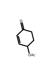 CC(=O)OC1C=CC(=O)CC1